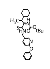 CC(C1CCCCC1)[C@@H](NC(=O)OC(C)(C)C)C(=S)NCc1ccc(Oc2ccccc2)nc1